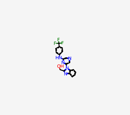 OCc1nc2ccccc2n1-c1cncc(Nc2ccc(C(F)(F)F)cc2)n1